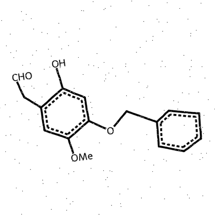 COc1cc(CC=O)c(O)cc1OCc1ccccc1